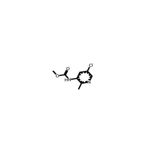 COC(=O)Nc1cc(Cl)cnc1C